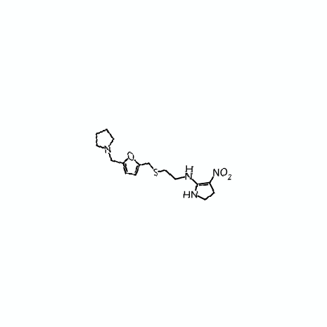 O=[N+]([O-])C1=C(NCCSCc2ccc(CN3CCCC3)o2)NCC1